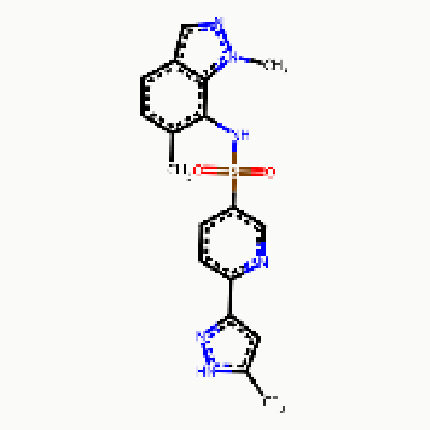 Cc1ccc2cnn(C)c2c1NS(=O)(=O)c1ccc(-c2cc(C(F)(F)F)[nH]n2)nc1